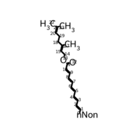 CCCCCCCCCC=CC=CC=CC=CC=CC(=O)OC/C=C(\C)CCC=C(C)C